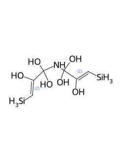 O/C(=C\[SiH3])C(O)(O)NC(O)(O)/C(O)=C/[SiH3]